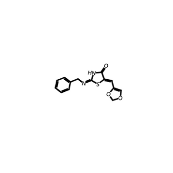 O=C1NC(=NCc2ccccc2)SC1=CC1=COCO1